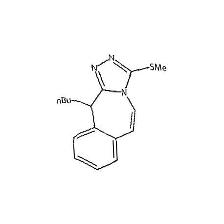 CCCCC1c2ccccc2C=Cn2c(SC)nnc21